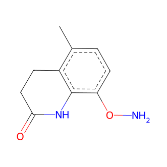 Cc1ccc(ON)c2c1CCC(=O)N2